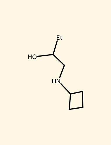 CCC(O)CNC1CCC1